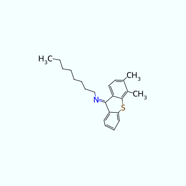 CCCCCCCCN=c1c2ccccc2sc2c(C)c(C)ccc12